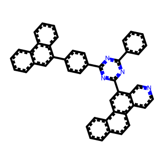 c1ccc(-c2nc(-c3ccc(-c4cc5ccccc5c5ccccc45)cc3)nc(-c3cc4c5ccccc5ccc4c4ccncc34)n2)cc1